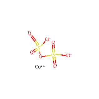 O=S(=O)([O-])OS(=O)(=O)[O-].[Co+2]